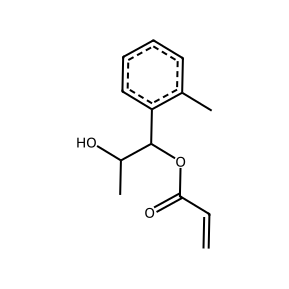 C=CC(=O)OC(c1ccccc1C)C(C)O